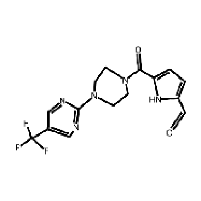 O=Cc1ccc(C(=O)N2CCN(c3ncc(C(F)(F)F)cn3)CC2)[nH]1